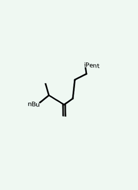 C=C(CCCC(C)CCC)C(C)CCCC